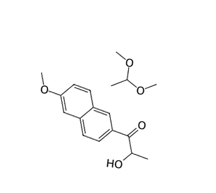 COC(C)OC.COc1ccc2cc(C(=O)C(C)O)ccc2c1